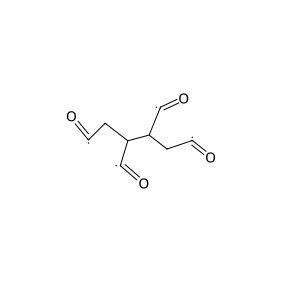 O=[C]CC([C]=O)C([C]=O)C[C]=O